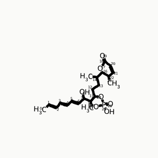 C/C=C/C=C/C=C/C(O)C(C)C(CCC(C)C1OC(=O)C=CC1C)OP(=O)(O)O